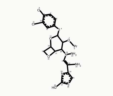 CC(C)OC1C(Sc2ccc(Cl)c(Cl)c2)OC2COC2C1N(N)/C=C(\N)c1csc(O)n1